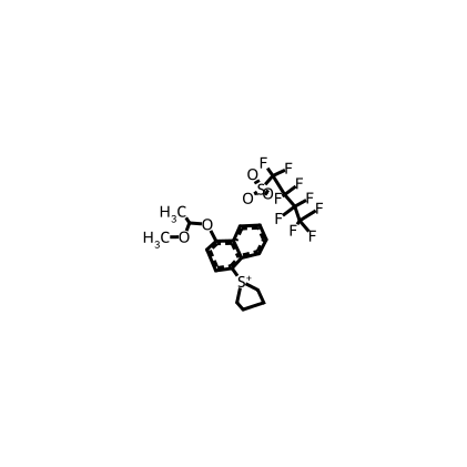 COC(C)Oc1ccc([S+]2CCCC2)c2ccccc12.O=S(=O)([O-])C(F)(F)C(F)(F)C(F)(F)C(F)(F)F